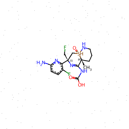 C[C@]12CCCN[SH]1(=O)C[C@@](CF)(c1nc(N)ccc1F)N=C2NC(=O)O